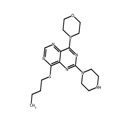 CCCCSc1ncnc2c(N3CCOCC3)nc(N3CCNCC3)nc12